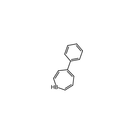 B1C=CC=C(c2ccccc2)C=C1